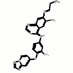 CNCCOc1cc2ncnc(Nc3ccc(Oc4ccn5ncnc5c4)c(C)c3)c2cc1[N+](=O)[O-]